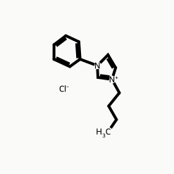 CCCC[n+]1ccn(-c2ccccc2)c1.[Cl-]